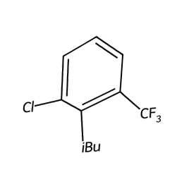 CCC(C)c1c(Cl)cccc1C(F)(F)F